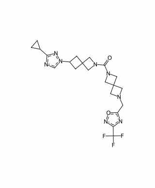 O=C(N1CC2(CC(n3cnc(C4CC4)n3)C2)C1)N1CC2(CN(Cc3nc(C(F)(F)F)no3)C2)C1